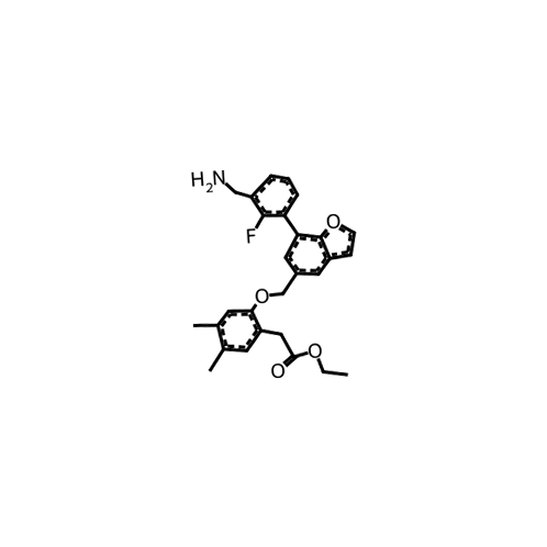 CCOC(=O)Cc1cc(C)c(C)cc1OCc1cc(-c2cccc(CN)c2F)c2occc2c1